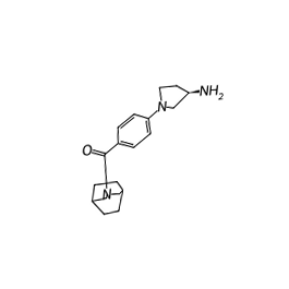 N[C@@H]1CCN(c2ccc(C(=O)N3CC4CCC(CC4)C3)cc2)C1